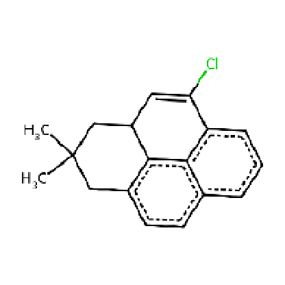 CC1(C)Cc2ccc3cccc4c3c2C(C=C4Cl)C1